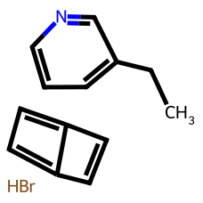 Br.CCc1cccnc1.c1cc2ccc1-2